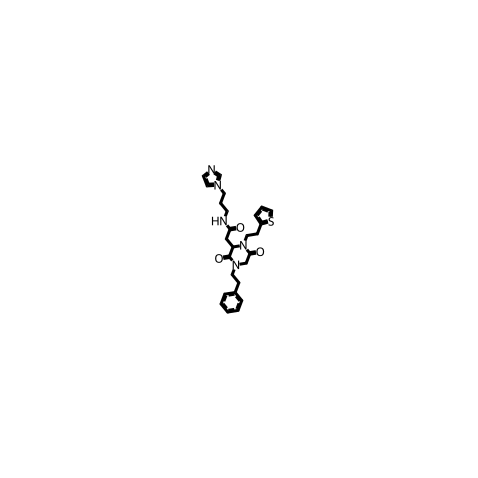 O=C(CC1C(=O)N(CCc2ccccc2)CC(=O)N1CCc1cccs1)NCCCn1ccnc1